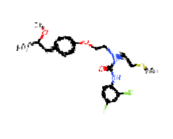 CCCCSCCN(CCOc1ccc(CC(OCC)C(=O)O)cc1)C(=O)Nc1ccc(F)cc1F